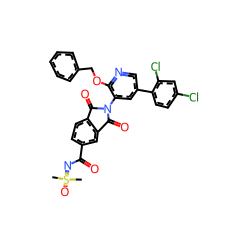 CS(C)(=O)=NC(=O)c1ccc2c(c1)C(=O)N(c1cc(-c3ccc(Cl)cc3Cl)cnc1OCc1ccccc1)C2=O